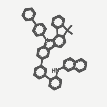 CC1(C)c2ccccc2-c2c1ccc1c3cc(-c4cccc(-c5ccccc5Nc5ccc6ccccc6c5)c4)ccc3n(-c3ccc(-c4ccccc4)cc3)c21